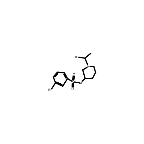 CC(C)c1cccc(S(=O)(=O)NC2CCCN(C(C)O)C2)c1